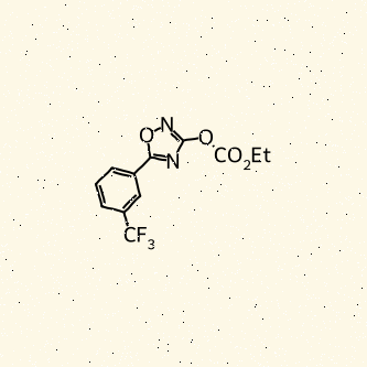 CCOC(=O)Oc1noc(-c2cccc(C(F)(F)F)c2)n1